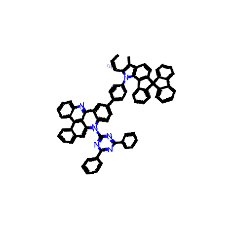 C/C=C\c1c(C)c2ccc3c(c2n1-c1ccc(-c2ccc4c(c2)-c2nc5ccccc5c5c2c(cc2ccccc25)N4c2nc(-c4ccccc4)nc(-c4ccccc4)n2)cc1)-c1ccccc1C31c2ccccc2-c2ccccc21